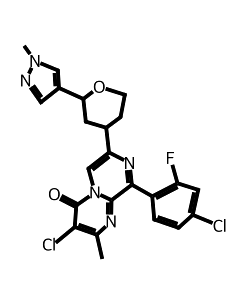 Cc1nc2c(-c3ccc(Cl)cc3F)nc(C3CCOC(c4cnn(C)c4)C3)cn2c(=O)c1Cl